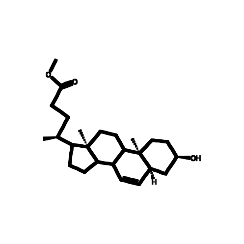 COC(=O)CC[C@H](C)C1CCC2C3C=C[C@@H]4C[C@H](O)CC[C@]4(C)C3CC[C@@]21C